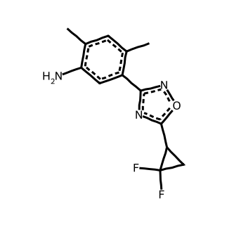 Cc1cc(C)c(-c2noc(C3CC3(F)F)n2)cc1N